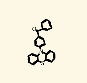 O=C(c1ccccc1)c1ccc(N2c3ccccc3Sc3ccccc32)cc1